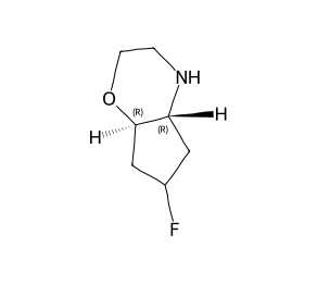 FC1C[C@H]2NCCO[C@@H]2C1